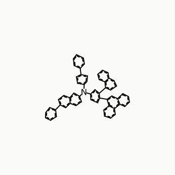 c1ccc(-c2ccc(N(c3ccc(-c4cc5ccccc5c5ccccc45)c(-c4cccc5ccccc45)c3)c3ccc4cc(-c5ccccc5)ccc4c3)cc2)cc1